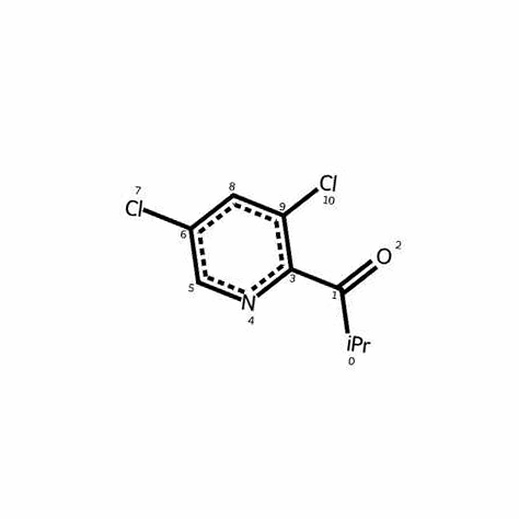 CC(C)C(=O)c1ncc(Cl)cc1Cl